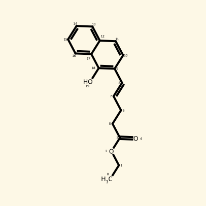 CCOC(=O)CCC=Cc1ccc2ccccc2c1O